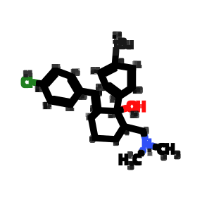 CN(C)CC1CCCC(=Cc2ccc(Cl)cc2)C1(O)c1ccc(C(C)(C)C)cc1